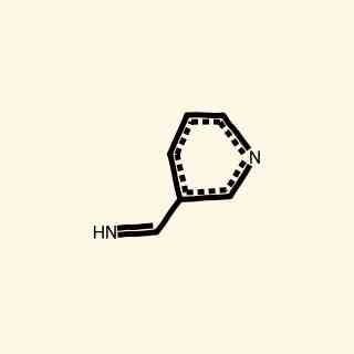 N=Cc1cccnc1